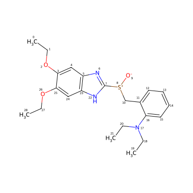 CCOc1cc2nc([S+]([O-])Cc3ccccc3N(CC)CC)[nH]c2cc1OCC